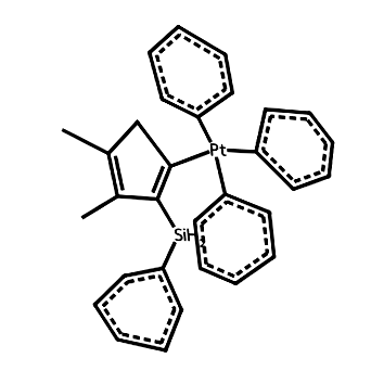 CC1=C(C)C([SiH2]c2ccccc2)=[C]([Pt]([c]2ccccc2)([c]2ccccc2)[c]2ccccc2)C1